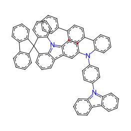 c1ccc(-c2ccc(-c3ccccc3N(c3ccc(-n4c5ccccc5c5ccccc54)cc3)c3ccc4c(c3)c3cccc5c3n4-c3ccccc3C53c4ccccc4-c4ccccc43)cc2)cc1